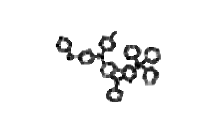 Cc1ccc(N(c2ccc(Oc3ccccc3)cc2)c2ccc3c(c2)c2cc([Si](c4ccccc4)(c4ccccc4)c4ccccc4)ccc2n3-c2ccccc2)cc1